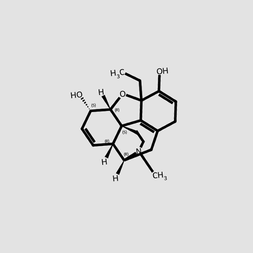 CCC12O[C@H]3[C@@H](O)C=C[C@H]4[C@H]5CC(=C1[C@]43CCN5C)CC=C2O